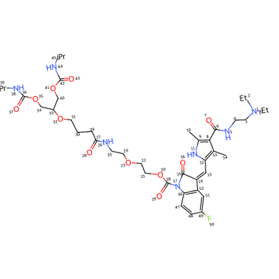 CCN(CC)CCNC(=O)c1c(C)[nH]c(/C=C2\C(=O)N(C(=O)OCCOCCNC(=O)CCCOC(COC(=O)NC(C)C)COC(=O)NC(C)C)c3ccc(F)cc32)c1C